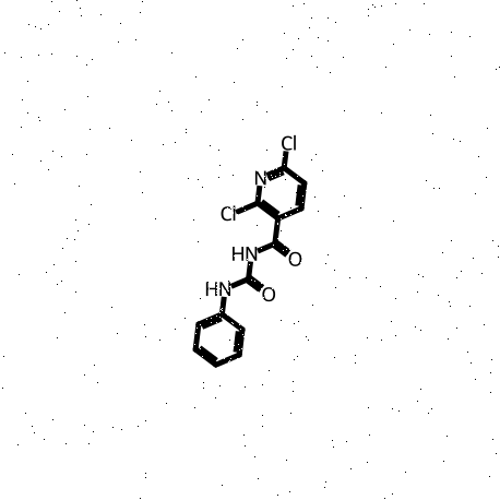 O=C(NC(=O)c1ccc(Cl)nc1Cl)Nc1ccccc1